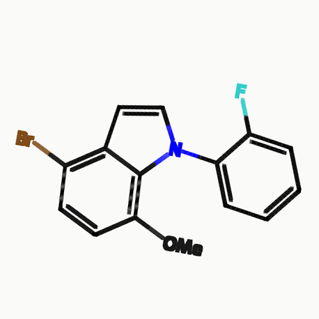 COc1ccc(Br)c2ccn(-c3ccccc3F)c12